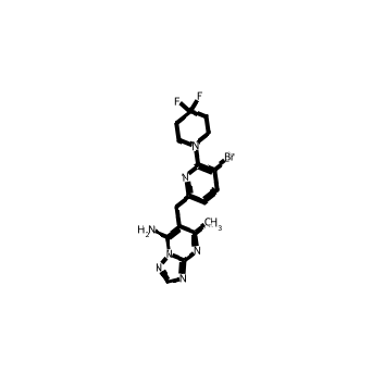 Cc1nc2ncnn2c(N)c1Cc1ccc(Br)c(N2CCC(F)(F)CC2)n1